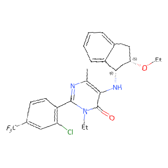 CCO[C@H]1Cc2ccccc2[C@H]1Nc1c(C)nc(-c2ccc(C(F)(F)F)cc2Cl)n(CC)c1=O